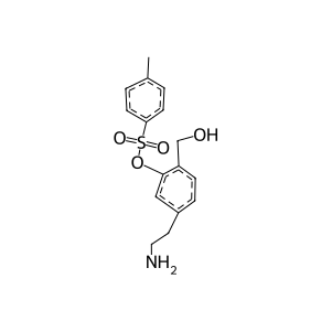 Cc1ccc(S(=O)(=O)Oc2cc(CCN)ccc2CO)cc1